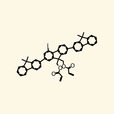 C=CC(=O)OCC1(COC(=O)C=C)c2cc(-c3ccc4c(c3)C(C)(C)c3ccccc3-4)ccc2-c2c(I)cc(-c3ccc4c(c3)C(C)(C)c3ccccc3-4)cc21